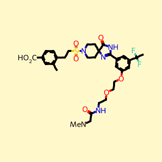 CNCC(=O)NCCOCCOc1cc(C2=NC3(CCN(S(=O)(=O)CCc4ccc(C(=O)O)cc4C)CC3)C(=O)N2)cc(C(C)(F)F)c1